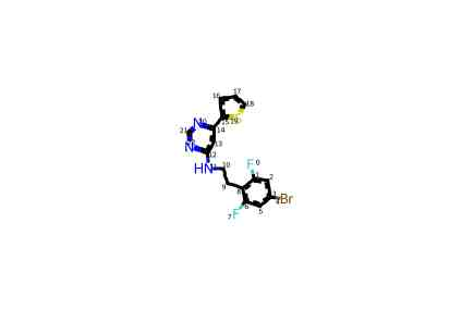 Fc1cc(Br)cc(F)c1CCNc1cc(-c2cccs2)ncn1